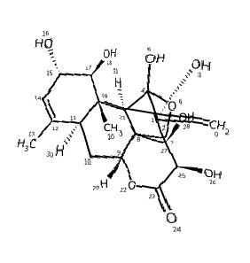 C=C1[C@@H](O)C2(O)OCC34[C@@H](C[C@H]5C(C)=C[C@H](O)[C@@H](O)[C@]5(C)[C@@H]23)OC(=O)[C@H](O)[C@@]14O